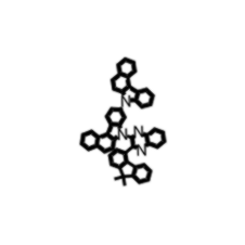 CC1(C)c2ccccc2-c2c(-c3nc4ccccc4nc3-n3c4cc(-n5c6ccccc6c6c7ccccc7ccc65)ccc4c4c5ccccc5ccc43)cccc21